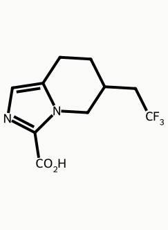 O=C(O)c1ncc2n1CC(CC(F)(F)F)CC2